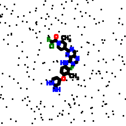 Cc1c(Oc2cc[nH]c(=N)c2)ccc(Nc2ncnc3cnc(C4=C[C@H](C)N(C(=O)C(F)Cl)CC4)nc23)c1F